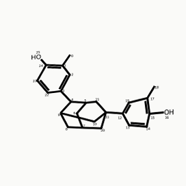 Cc1cc(C2C3CC4CC2CC(c2ccc(O)c(C)c2)(C4)C3)ccc1O